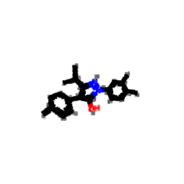 Cc1ccc(-c2c(C(C)C)nn(-c3ccc(C)c(C)c3)c2O)cc1